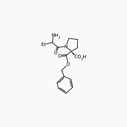 CCC(N)C(=O)N1CCC[C@]1(C(=O)O)C(=O)OCc1ccccc1